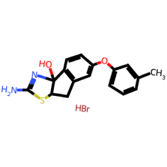 Br.Cc1cccc(Oc2ccc3c(c2)CC2SC(N)=NC32O)c1